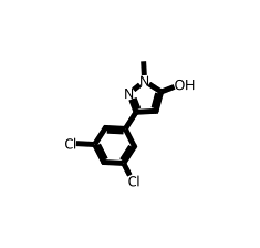 Cn1nc(-c2cc(Cl)cc(Cl)c2)cc1O